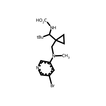 CN(CC1(C(NC(=O)O)C(C)(C)C)CC1)c1cncc(Br)c1